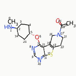 CN[C@H]1CC[C@H](Oc2ncnc3sc4c(c23)CN(C(C)=O)CC4)CC1